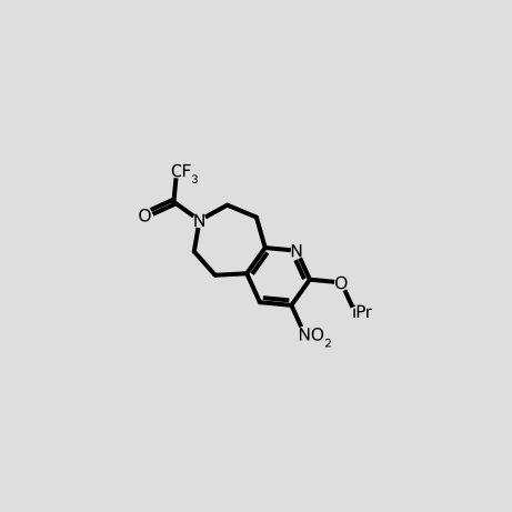 CC(C)Oc1nc2c(cc1[N+](=O)[O-])CCN(C(=O)C(F)(F)F)CC2